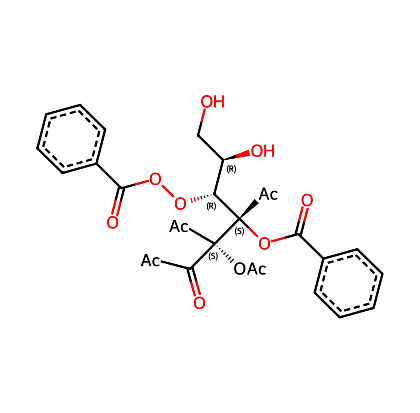 CC(=O)O[C@@](C(C)=O)(C(=O)C(C)=O)[C@](OC(=O)c1ccccc1)(C(C)=O)[C@H](OOC(=O)c1ccccc1)[C@H](O)CO